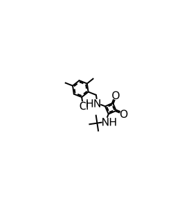 Cc1cc(C)c(CNc2c(NC(C)(C)C)c(=O)c2=O)c(Cl)c1